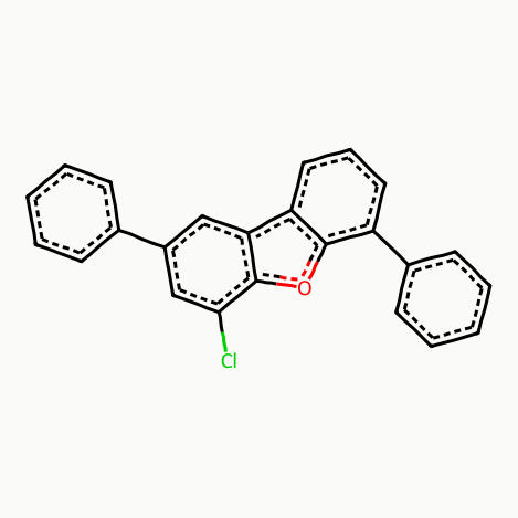 Clc1cc(-c2ccccc2)cc2c1oc1c(-c3ccccc3)cccc12